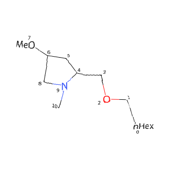 CCCCCCCOCC1CC(OC)CN1C